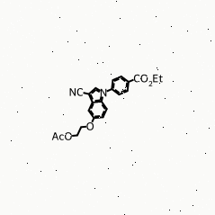 CCOC(=O)c1ccc(-n2cc(C#N)c3cc(OCCOC(C)=O)ccc32)cc1